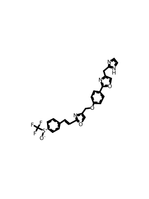 [O-][S+](c1ccc(C=Cc2nc(COc3ccc(-c4nc(Cc5ncc[nH]5)co4)cc3)co2)cc1)C(F)(F)F